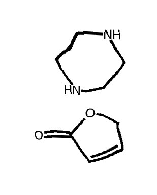 C1CNCCN1.O=C1C=CCO1